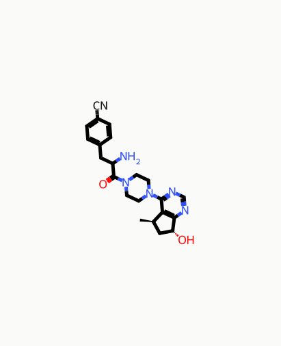 C[C@@H]1C[C@@H](O)c2ncnc(N3CCN(C(=O)C(N)Cc4ccc(C#N)cc4)CC3)c21